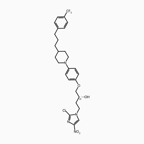 O=[N+]([O-])c1cn(CC[C@@H](O)COc2ccc(N3CCC(CCCc4ccc(C(F)(F)F)cc4)CC3)cc2)c(Cl)n1